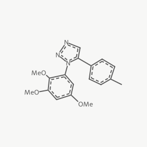 COc1cc(OC)c(OC)c(-n2nncc2-c2ccc(C)cc2)c1